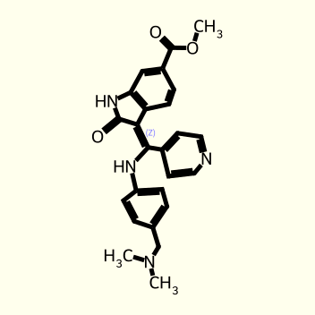 COC(=O)c1ccc2c(c1)NC(=O)/C2=C(\Nc1ccc(CN(C)C)cc1)c1ccncc1